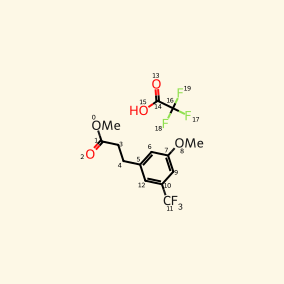 COC(=O)CCc1cc(OC)cc(C(F)(F)F)c1.O=C(O)C(F)(F)F